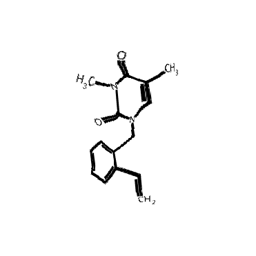 C=Cc1ccccc1Cn1cc(C)c(=O)n(C)c1=O